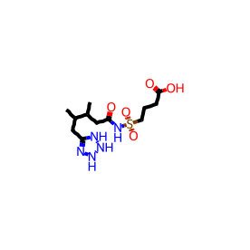 CC(CC(=O)NS(=O)(=O)CCCC(=O)O)C(C)CC1=NNNN1